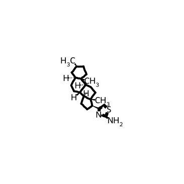 C[C@H]1CC[C@@]2(C)[C@@H](CC[C@@H]3[C@@H]2CC[C@]2(C)[C@@H](c4csc(N)n4)CC[C@@H]32)C1